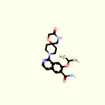 CC(C)Oc1cc2c(N3CCC4(CC3)CNC(=O)CO4)nccc2cc1C(N)=O